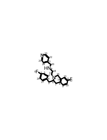 Fc1ccc(CC2Cc3ccc(F)cc3CN2CCNCc2ccncc2)cc1